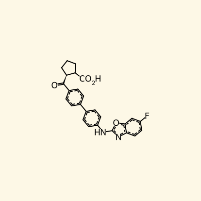 O=C(O)C1CCC[C@@H]1C(=O)c1ccc(-c2ccc(Nc3nc4ccc(F)cc4o3)cc2)cc1